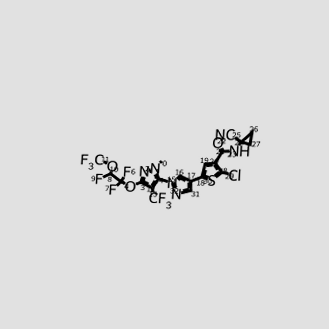 Cn1nc(OC(F)(F)C(F)OC(F)(F)F)c(C(F)(F)F)c1-n1cc(-c2cc(C(=O)NC3(C#N)CC3)c(Cl)s2)cn1